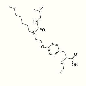 CCCCCCCN(CCOc1ccc(CC(OCC)C(=O)O)cc1)C(=O)NCC(C)C